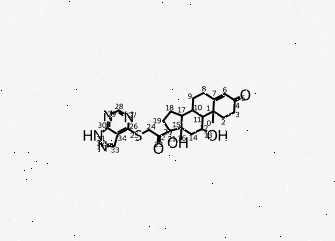 CC12CCC(=O)C=C1CCC1C2[C@@H](O)CC2(C)C1CC[C@]2(O)C(=O)CSc1ncnc2[nH]ncc12